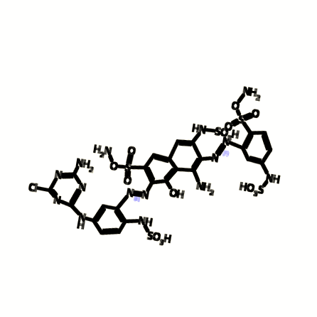 NOS(=O)(=O)c1ccc(NS(=O)(=O)O)cc1/N=N/c1c(NS(=O)(=O)O)cc2cc(S(=O)(=O)ON)c(/N=N/c3cc(Nc4nc(N)nc(Cl)n4)ccc3NS(=O)(=O)O)c(O)c2c1N